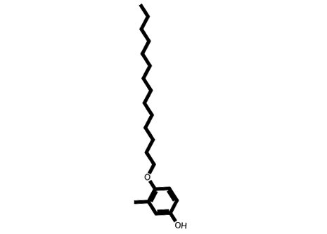 CCCCCCCCCCCCCCOc1ccc(O)cc1C